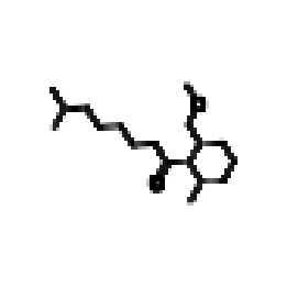 COCC1CCCC(C)C1C(=O)CCCCCC(C)C